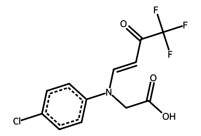 O=C(O)CN(C=CC(=O)C(F)(F)F)c1ccc(Cl)cc1